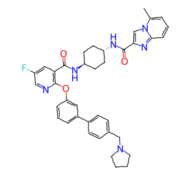 Cc1cccc2nc(C(=O)N[C@H]3CC[C@H](NC(=O)c4cc(F)cnc4Oc4cccc(-c5ccc(CN6CCCC6)cc5)c4)CC3)cn12